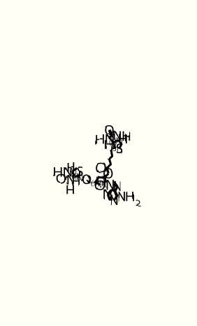 Nc1ncnc2c1ncn2[C@@H]1O[C@H](COC[C@@H]2SC[C@@H]3NC(=O)N[C@@H]32)CC1OC(=O)CCCC[C@@H]1SC[C@@H]2NC(=O)N[C@@H]21